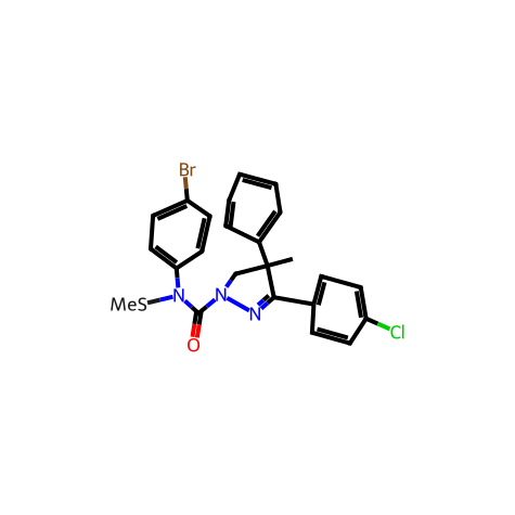 CSN(C(=O)N1CC(C)(c2ccccc2)C(c2ccc(Cl)cc2)=N1)c1ccc(Br)cc1